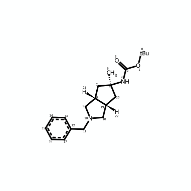 CC(C)(C)OC(=O)N[C@]1(C)C[C@H]2CN(Cc3ccccc3)C[C@H]2C1